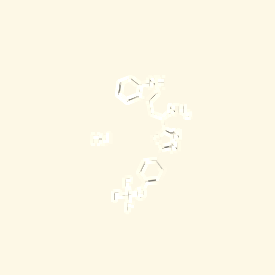 Cl.NC(Cc1c[nH]c2ccccc12)c1nnc(-c2ccc(OC(F)(F)F)cc2)o1